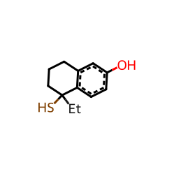 CCC1(S)CCCc2cc(O)ccc21